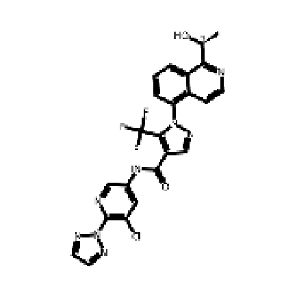 C[C@H](O)c1nccc2c(-n3ncc(C(=O)Nc4cnc(-n5nccn5)c(Cl)c4)c3C(F)(F)F)cccc12